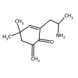 C=C1CC(C)(C)C=C(CC(C)N)C1=O